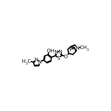 Cc1ccn(-c2ccc(-c3nnc(OC4CC5N(C)CC6(C4)CC56F)s3)c(O)c2)n1